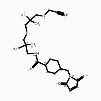 C#CCOCC(C)(C)COCC(C)(C)CNC(=O)C1CCC(CN2C(=O)C=CC2=O)CC1